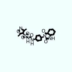 Cc1noc(C)c1S(=O)(=O)NC(=O)Nc1ccc(-n2c(=O)[nH]c3ccccc3c2=O)cc1